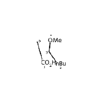 CC(=O)O.CCCCCOC